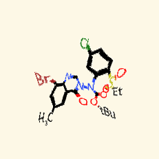 CCS(=O)(=O)c1ccc(Cl)cc1N(C(=O)OC(C)(C)C)n1cnc2c(Br)cc(C)cc2c1=O